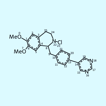 COc1cc2c(cc1OC)C(Cc1ccc(-c3cncnc3)cc1)N(Cl)CC2